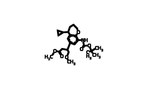 COCC(CC(=O)OC)c1cc(NC(=O)OC(C)(C)C)c2c(c1)C(C1CC1)CCCO2